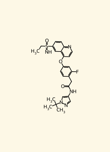 CCS(=N)(=O)c1ccc2nccc(Oc3ccc(CC(=O)Nc4cnn(C(C)(C)C)c4)c(F)c3)c2c1